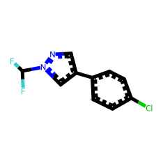 FC(F)n1cc(-c2[c]cc(Cl)cc2)cn1